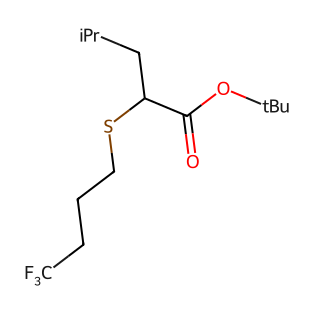 CC(C)CC(SCCCC(F)(F)F)C(=O)OC(C)(C)C